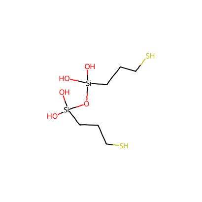 O[Si](O)(CCCS)O[Si](O)(O)CCCS